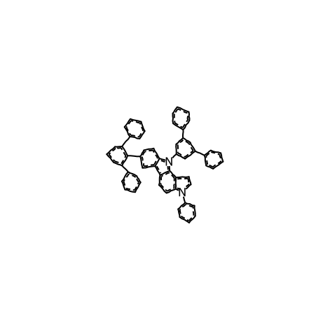 c1ccc(-c2cc(-c3ccccc3)cc(-n3c4ccc(-c5c(-c6ccccc6)cccc5-c5ccccc5)cc4c4ccc5c(ccn5-c5ccccc5)c43)c2)cc1